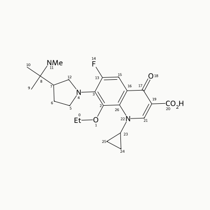 CCOc1c(N2CCC(C(C)(C)NC)C2)c(F)cc2c(=O)c(C(=O)O)cn(C3CC3)c12